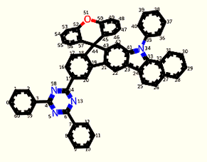 c1ccc(-c2nc(-c3ccccc3)nc(-c3ccc4c(c3)-c3cc5c6ccc7ccccc7c6n(-c6ccccc6)c5cc3C43c4ccccc4Oc4ccccc43)n2)cc1